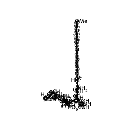 CC[C@H](C)[C@@H](C(CC(=O)N1CCC[C@H]1[C@H](C)[C@@H](C)C(=O)N[C@H](C)[C@@H](O)c1ccccc1)OC)N(C)C(=O)[C@@H](NC(=O)[C@H](C(C)C)N(C)C(=O)OCc1ccc(O[C@@H]2O[C@H](C(=O)O)[C@@H](O)[C@H](O)[C@H]2O)c(NC(=O)CCNC(=O)[C@@H](N)CCCCNC(=O)CCOCCOCCOCCOCCOCCOCCOCCOCCOCCOCCOCCOC)c1)C(C)C